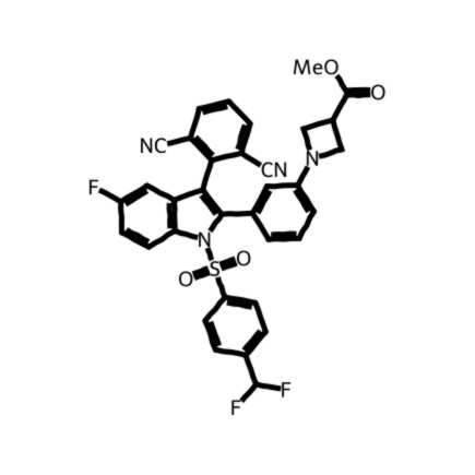 COC(=O)C1CN(c2cccc(-c3c(-c4c(C#N)cccc4C#N)c4cc(F)ccc4n3S(=O)(=O)c3ccc(C(F)F)cc3)c2)C1